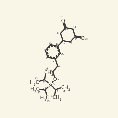 CC(C)[Si](OCCc1cccc(C2CC(=O)CC(=O)C2)c1)(C(C)C)C(C)C